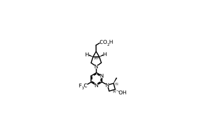 C[C@H]1[C@H](O)CN1c1nc(N2C[C@@H]3C(CC(=O)O)[C@@H]3C2)cc(C(F)(F)F)n1